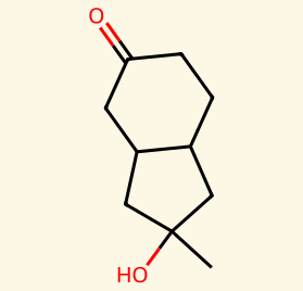 CC1(O)CC2CCC(=O)CC2C1